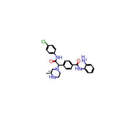 C[C@H]1CN(C(C(=O)Nc2ccc(Cl)cc2)c2ccc(C(=O)Nc3ccccc3N)cc2)CCN1